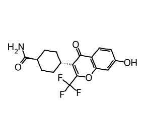 NC(=O)[C@H]1CC[C@H](c2c(C(F)(F)F)oc3cc(O)ccc3c2=O)CC1